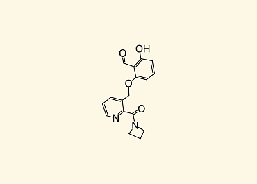 O=Cc1c(O)cccc1OCc1cccnc1C(=O)N1CCC1